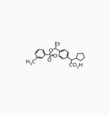 CCC(OS(=O)(=O)c1cccc(C)c1)c1ccc(C(C(=O)O)C2CCCC2)cc1